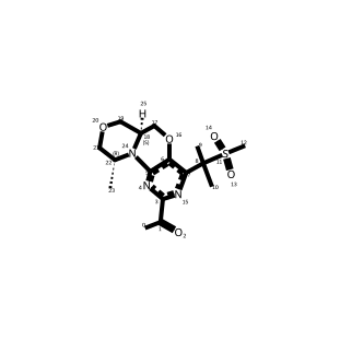 CC(=O)c1nc2c(c(C(C)(C)S(C)(=O)=O)n1)OC[C@@H]1COC[C@@H](C)N21